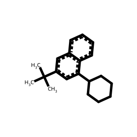 CC(C)(C)c1cc(C2CCCCC2)c2ccccc2c1